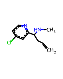 C=CCC(NC)c1cc(Cl)ccn1